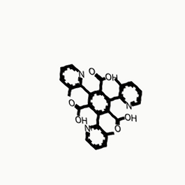 Cc1cccnc1-c1c(C(=O)O)c(-c2ncccc2C)c(C(=O)O)c(-c2ncccc2C)c1C(=O)O